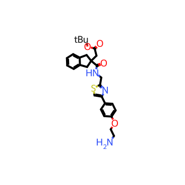 CC(C)(C)OC(=O)CC1(C(=O)NCc2nc(-c3ccc(OCCN)cc3)cs2)Cc2ccccc2C1